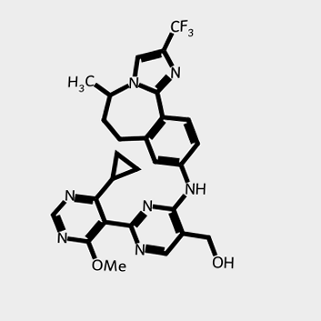 COc1ncnc(C2CC2)c1-c1ncc(CO)c(Nc2ccc3c(c2)CCC(C)n2cc(C(F)(F)F)nc2-3)n1